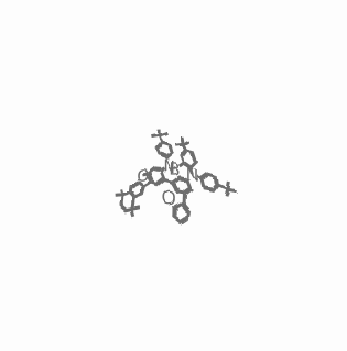 CC(C)(C)c1ccc(N2B3c4cc(C(C)(C)C)ccc4N(c4ccc(C(C)(C)C)cc4)c4cc5c(oc6ccccc65)c(c43)-c3cc4c(cc32)oc2cc3c(cc24)C(C)(C)CCC3(C)C)cc1